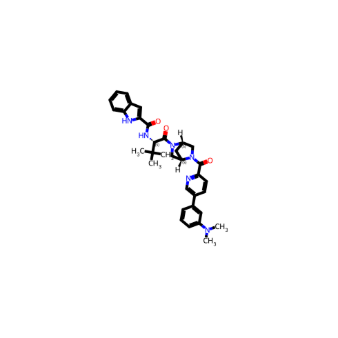 CN(C)c1cccc(-c2ccc(C(=O)N3C[C@@H]4C[C@H]3CN4C(=O)[C@@H](NC(=O)c3cc4ccccc4[nH]3)C(C)(C)C)nc2)c1